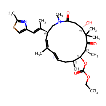 CC1=C[C@@H](C(C)=Cc2csc(C)n2)CN(C)C(=O)C[C@H](O)C(C)(C)C(=O)[C@H](C)[C@@H](OC(=O)OCC(Cl)(Cl)Cl)[C@@H](C)C/C=C/1